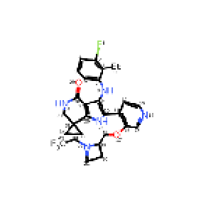 CCc1c(F)cccc1Nc1c(-c2ccncc2OCC2CCN2CC(F)(F)F)[nH]c2c1C(=O)NCC21CC1